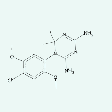 COc1cc(N2C(N)=NC(N)=NC2(C)C)c(OC)cc1Cl